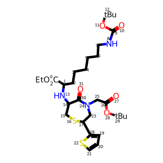 CCOC(=O)C(CCCCCCNC(=O)OC(C)(C)C)NC1CSC(c2cccs2)CN(CC(=O)OC(C)(C)C)C1=O